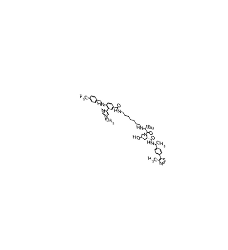 Cc1ncsc1-c1ccc([C@H](C)NC(=O)[C@@H]2C[C@@H](O)CN2C(=O)[C@@H](NCCCCCCCNC(=O)c2ccc(NCc3ccc(C(F)(F)F)cc3)c(-c3cn(C)cn3)c2)C(C)(C)C)cc1